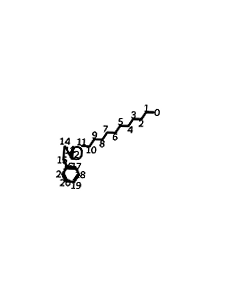 CCCCCCCCCCCCON(C)Cc1ccccc1